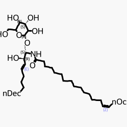 CCCCCCCC/C=C\CCCCCCCCCCCCCC(=O)N[C@@H](CO[C@@H]1OC(CO)[C@H](O)[C@H](O)C1O)[C@H](O)/C=C/CCCCCCCCCCCCC